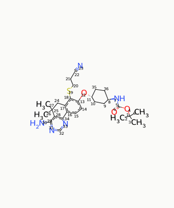 CC(C)(C)OC(=O)N[C@H]1CC[C@H](Oc2ccc3c(c2SCCC#N)CC(C)(C)c2c(N)ncnc2-3)CC1